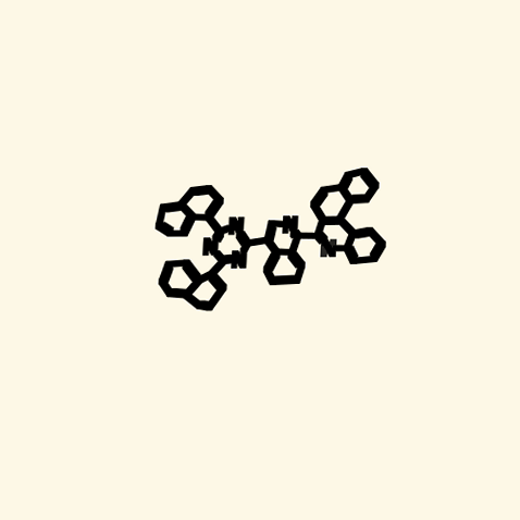 c1ccc2c(-c3nc(-c4cccc5ccccc45)nc(-c4cnc(-c5nc6ccccc6c6c5ccc5ccccc56)c5ccccc45)n3)cccc2c1